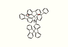 CC1(c2c(N(c3ccc(-c4ccccc4)cc3)c3ccc4c(c3)C3(c5ccccc5-c5ccccc53)c3ccccc3-4)ccc3c2oc2ccccc23)c2ccccc2-c2ccccc21